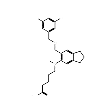 CCN(CCCCC(=O)OC)c1cc2c(cc1CNCc1cc(C(F)(F)F)cc(C(F)(F)F)c1)CCC2